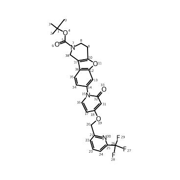 CC(C)(C)OC(=O)N1CCc2oc3cc(-n4ccc(OCc5cccc(C(F)(F)F)n5)cc4=O)ccc3c2C1